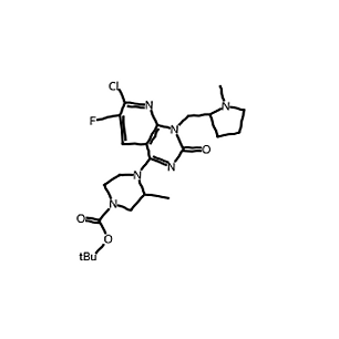 CC1CN(C(=O)OC(C)(C)C)CCN1c1nc(=O)n(CC2CCCN2C)c2nc(Cl)c(F)cc12